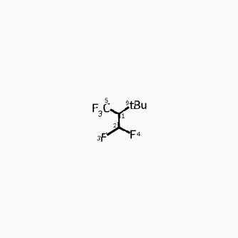 CC(C)(C)C(C(F)F)C(F)(F)F